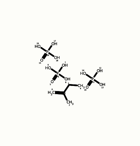 C=C(C)CC.O=P(O)(O)O.O=P(O)(O)O.O=P(O)(O)O